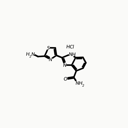 Cl.NCc1nc(-c2nc3c(C(N)=O)cccc3[nH]2)cs1